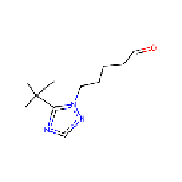 CC(C)(C)c1ncnn1CCCCC=O